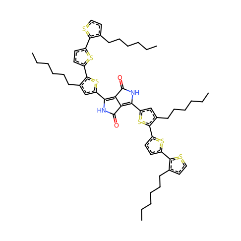 CCCCCCc1ccsc1-c1ccc(-c2sc(C3=C4C(=O)NC(c5cc(CCCCCC)c(-c6ccc(-c7sccc7CCCCCC)s6)s5)=C4C(=O)N3)cc2CCCCCC)s1